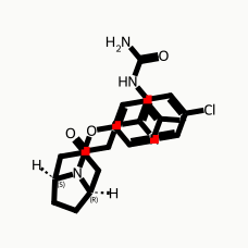 NC(=O)Nc1cc(Cl)cnc1OCC(=O)N1[C@@H]2CC[C@H]1CC(Oc1ccc(F)cc1)C2